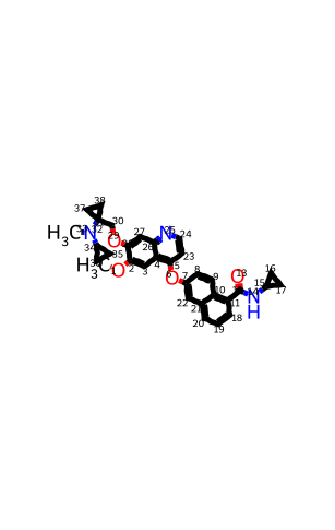 COc1cc2c(Oc3ccc4c(C(=O)NC5CC5)cccc4c3)ccnc2cc1OCC1(N(C)C2CC2)CC1